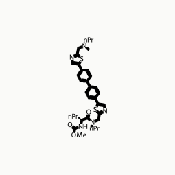 CCC[C@H](NC(=O)OC)C(=O)N(CCC)Cc1ncc(-c2ccc(-c3ccc(-c4cnc(CN(C)CCC)s4)cc3)cc2)s1